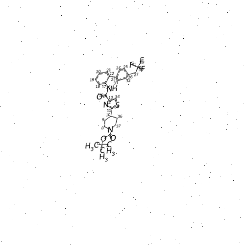 CC(C)(C)OC(=O)N1CCC(c2nc(C(=O)Nc3ccccc3-c3ccc(CC(F)(F)F)cc3)cs2)CC1